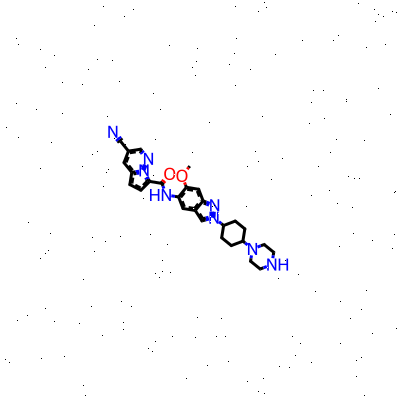 COc1cc2nn(C3CCC(N4CCNCC4)CC3)cc2cc1NC(=O)c1ccc2cc(C#N)cnn12